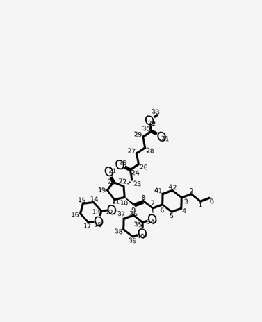 CCCC1CCC([C@@H](/C=C/[C@H]2[C@H](OC3CCCCO3)CC(=O)[C@@H]2CC(=O)CCCCC(=O)OC)OC2CCCCO2)CC1